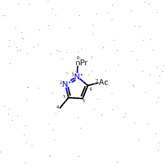 CCC[N+]1=[N+]=C(C)C=C1C(C)=O